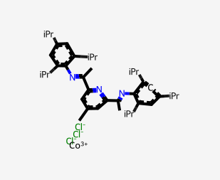 CC(=Nc1c(C(C)C)cc(C(C)C)cc1C(C)C)c1cc(C)cc(C(C)=Nc2c(C(C)C)cc(C(C)C)cc2C(C)C)n1.[Cl-].[Cl-].[Cl-].[Co+3]